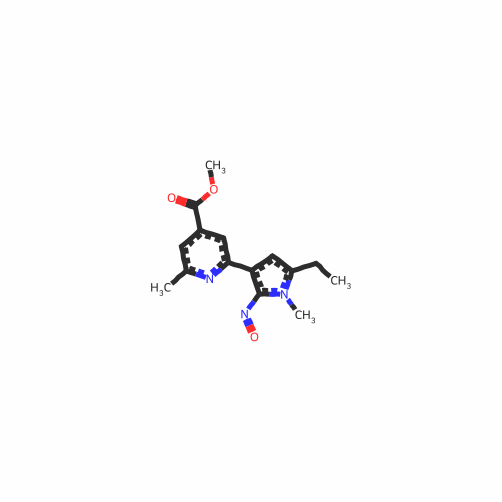 CCc1cc(-c2cc(C(=O)OC)cc(C)n2)c(N=O)n1C